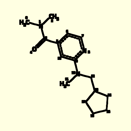 CN(C)C(=O)c1ccnc(N(C)CC2CCCC2)c1